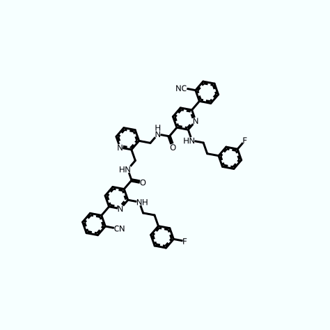 N#Cc1ccccc1-c1ccc(C(=O)NCc2cccnc2CNC(=O)c2ccc(-c3ccccc3C#N)nc2NCCc2cccc(F)c2)c(NCCc2cccc(F)c2)n1